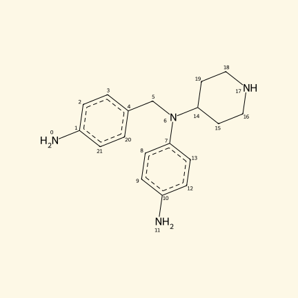 Nc1ccc(CN(c2ccc(N)cc2)C2CCNCC2)cc1